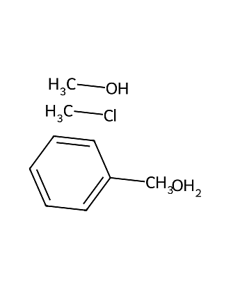 CCl.CO.Cc1ccccc1.O